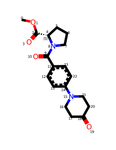 COC(=O)[C@@H]1CCCN1C(=O)c1ccc(N2CCC(=O)CC2)cc1